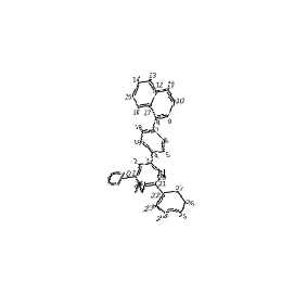 Clc1cc(-c2ccc(-c3cccc4ccccc34)cc2)nc(C2=CC=CCC2)n1